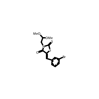 COC(CN1C(=O)C(=Cc2cccc(Br)c2)SC1=S)OC